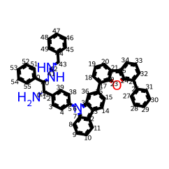 N[C@@H](c1ccc(-n2c3ccccc3c3ccc(-c4cccc5c4oc4c(-c6ccccc6)cccc45)cc32)cc1)C(NNCc1ccccc1)c1ccccc1